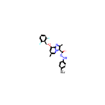 Cc1cc(OCc2c(F)cccc2F)c2nc(C)c(C(=O)NNc3ccc(C(C)(C)C)cc3)n2c1